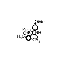 CON1CCC2(CC1)NC(=O)C(c1cc(C)ccc1C)=C2OS(=O)(=O)C(C)C